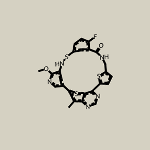 COc1ncc2cc1NSc1ccc(F)c(c1)C(=O)NCc1ccc(s1)-c1ncnc3c(C)c-2sc13